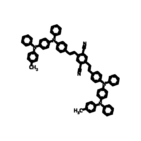 Cc1ccc(N(c2ccccc2)c2ccc(N(c3ccccc3)c3ccc(C=Cc4cc(C#N)c(C=Cc5ccc(N(c6ccccc6)c6ccc(N(c7ccccc7)c7ccc(C)cc7)cc6)cc5)cc4C#N)cc3)cc2)cc1